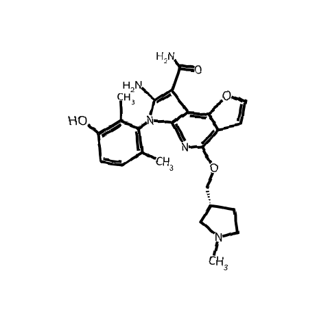 Cc1ccc(O)c(C)c1-n1c(N)c(C(N)=O)c2c3occc3c(OC[C@@H]3CCN(C)C3)nc21